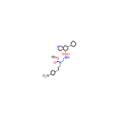 CC(C)(C)OC(=O)N(CC=Cc1ccc([N+](=O)[O-])cc1)CCNS(=O)(=O)c1cc(-c2ccccc2)cc2cnccc12